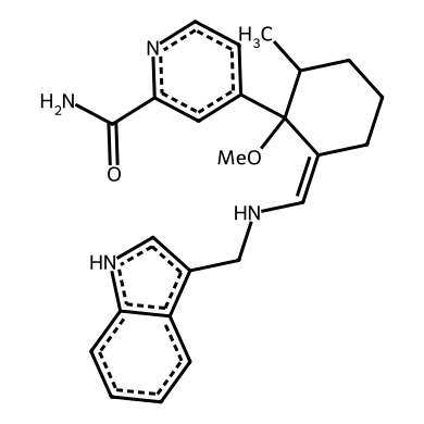 COC1(c2ccnc(C(N)=O)c2)/C(=C\NCc2c[nH]c3ccccc23)CCCC1C